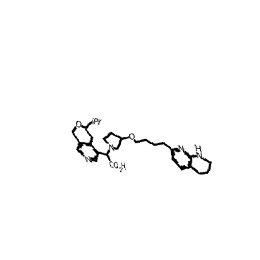 CC(C)C1Cc2c(cncc2C(C(=O)O)N2CCC(OCCCCc3ccc4c(n3)NCCC4)C2)CO1